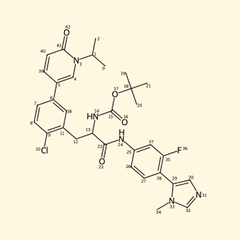 CC(C)n1cc(-c2ccc(Cl)c(CC(NC(=O)OC(C)(C)C)C(=O)Nc3ccc(-c4cncn4C)c(F)c3)c2)ccc1=O